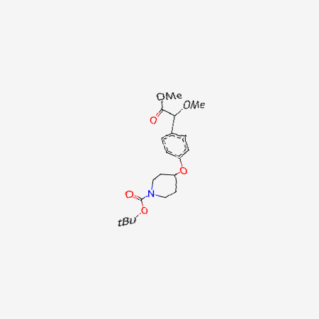 COC(=O)C(OC)c1ccc(OC2CCN(C(=O)OC(C)(C)C)CC2)cc1